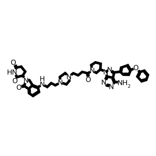 Nc1ncnc2c1c(-c1ccc(Oc3ccccc3)cc1)nn2C1CCCN(C(=O)CCCN2CCN(CCCNc3cccc4c3CN(C3CCC(=O)NC3=O)C4=O)CC2)C1